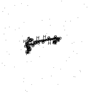 CO[C@@H]1COCC[C@@H]1N[C@@H]1CC[C@](CCCNC(=O)[C@H]2CC[C@@H](NC(=O)CCCC(=O)NCCCC(=O)NCCCNC(=O)[C@H]3CC(=O)N(C)[C@@H]3c3cccnc3)CC2)(C(=O)N2CCc3ncc(C(F)(F)F)cc3C2)C1